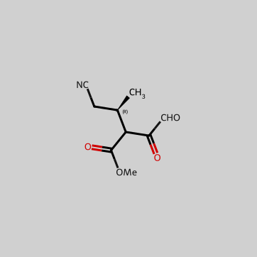 COC(=O)C(C(=O)C=O)[C@H](C)CC#N